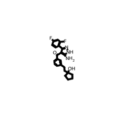 Nc1[nH]nc(-c2ccc(F)cc2F)c1C(=O)c1cccc(CCC2(O)CCCC2)c1